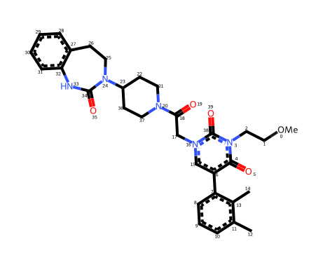 COCCn1c(=O)c(-c2cccc(C)c2C)cn(CC(=O)N2CCC(N3CCc4ccccc4NC3=O)CC2)c1=O